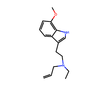 C=CCN(CC)CCc1c[nH]c2c(OC)cccc12